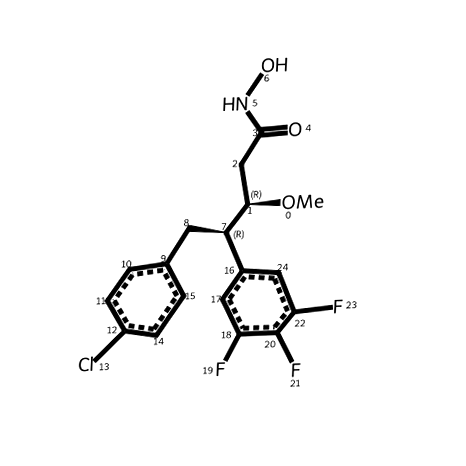 CO[C@H](CC(=O)NO)[C@H](Cc1ccc(Cl)cc1)c1cc(F)c(F)c(F)c1